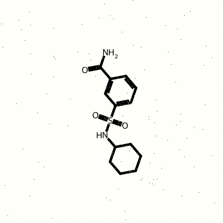 NC(=O)c1cccc(S(=O)(=O)NC2CCCCC2)c1